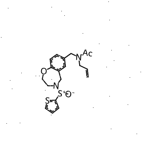 C=CCN(Cc1ccc2c(c1)CN([S+]([O-])c1cccs1)CCO2)C(C)=O